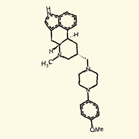 COc1ccc(N2CCN(C[C@H]3C[C@@H]4c5cccc6[nH]cc(c56)C[C@H]4N(C)C3)CC2)cc1